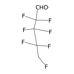 O=[C]C(F)(F)C(F)(F)C(F)(F)CF